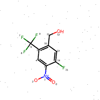 O=[N+]([O-])c1cc(C(F)(F)F)c(CO)cc1F